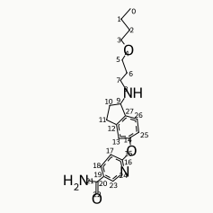 CCCCOCCCNC1CCc2cc(Oc3ccc(C(N)=O)cn3)ccc21